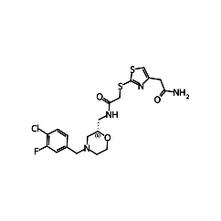 NC(=O)Cc1csc(SCC(=O)NC[C@H]2CN(Cc3ccc(Cl)c(F)c3)CCO2)n1